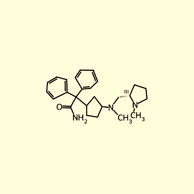 CN(C[C@@H]1CCCN1C)C1CCC(C(C(N)=O)(c2ccccc2)c2ccccc2)C1